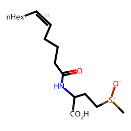 CCCCCC/C=C\CCCC(=O)NC(CC[S+](C)[O-])C(=O)O